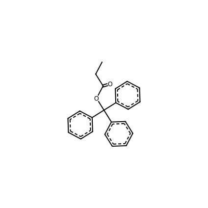 CCC(=O)OC(c1ccccc1)(c1ccccc1)c1ccccc1